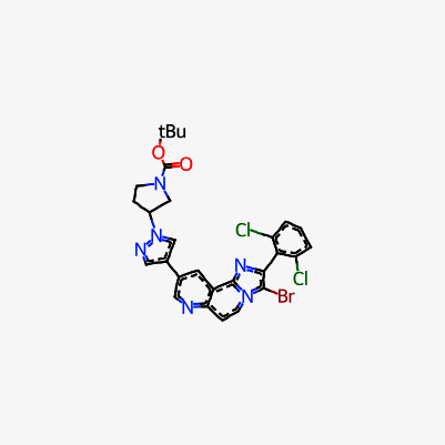 CC(C)(C)OC(=O)N1CCC(n2cc(-c3cnc4ccn5c(Br)c(-c6c(Cl)cccc6Cl)nc5c4c3)cn2)C1